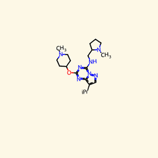 CC(C)c1cnn2c(NCC3CCCN3C)nc(OC3CCN(C)CC3)nc12